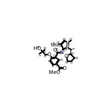 COC(=O)c1ccc(OCC(C)(C)O)c(C(=O)/N=c2\c(C(C)(C)C)cn(C)n2C[C@H]2CCCO2)c1